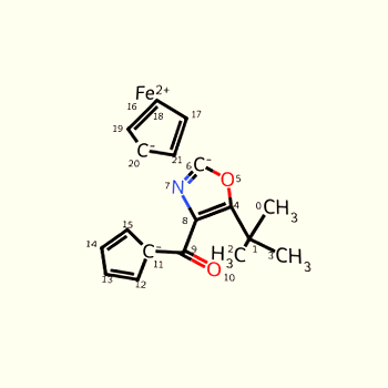 CC(C)(C)c1o[c-]nc1C(=O)[c-]1cccc1.[Fe+2].c1cc[cH-]c1